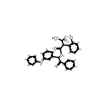 CC(C)C(C(=O)OC(C(=S)c1ccccc1)c1cccc(Oc2ccccc2)c1)c1ccccc1Cl